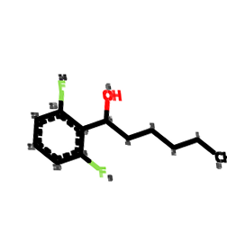 CCCCCC(O)c1c(F)cccc1F